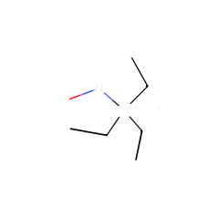 CC[Si](CC)(CC)NO.Cl